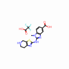 Cn1c(Nc2nc3c(s2)CNCC3)nc2cc(C(=O)O)ccc21.O=C(O)C(F)(F)F